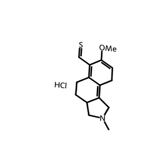 COC1=CCC2=C3CN(C)CC3CCC2=C1C=S.Cl